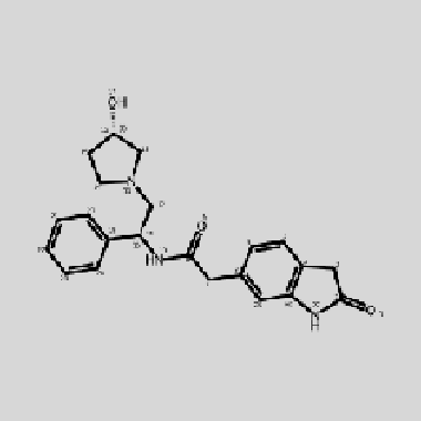 O=C1Cc2ccc(CC(=O)N[C@H](CN3CC[C@H](O)C3)c3ccccc3)cc2N1